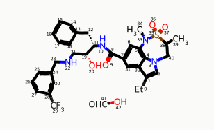 CCc1cn2c3c(cc(C(=O)N[C@@H](Cc4ccccc4)[C@H](O)CNCc4cccc(C(F)(F)F)c4)cc13)N(C)S(=O)(=O)C(C)C2.O=CO